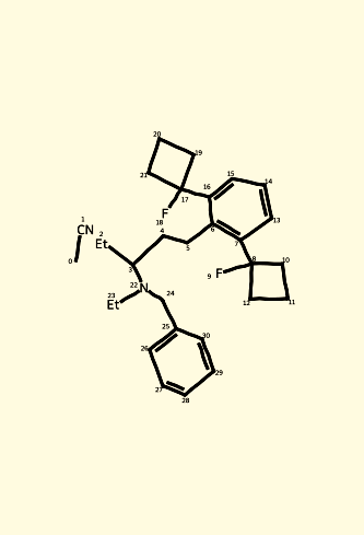 CC#N.CCC(CCc1c(C2(F)CCC2)cccc1C1(F)CCC1)N(CC)Cc1ccccc1